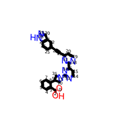 O=C(O)c1ccccc1C1CN(c2nccc(-c3nccc(C#Cc4ccc5[nH]ncc5c4)n3)n2)C1